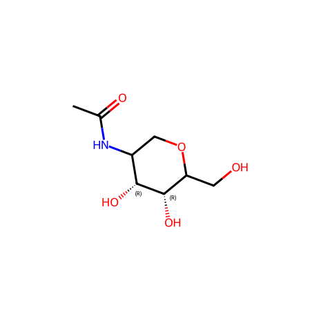 CC(=O)NC1COC(CO)[C@H](O)[C@@H]1O